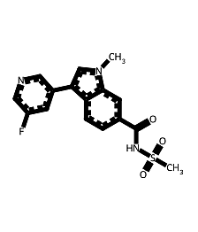 Cn1cc(-c2cncc(F)c2)c2ccc(C(=O)NS(C)(=O)=O)cc21